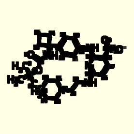 CC(C)(C)OC(=O)NC1(c2ccc(Nc3nc(NCCN4CCOCC4)ccc3[N+](=O)[O-])cc2)CCC1